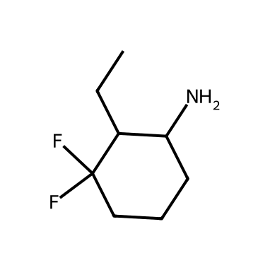 CCC1C(N)CCCC1(F)F